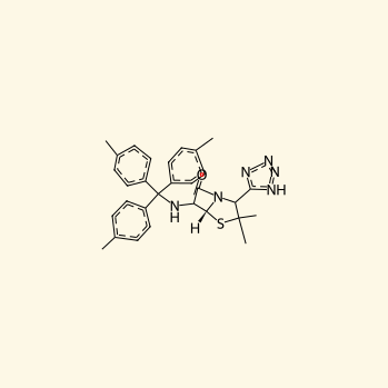 Cc1ccc(C(NC2C(=O)N3C(c4nnn[nH]4)C(C)(C)S[C@H]23)(c2ccc(C)cc2)c2ccc(C)cc2)cc1